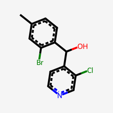 Cc1ccc(C(O)c2ccncc2Cl)c(Br)c1